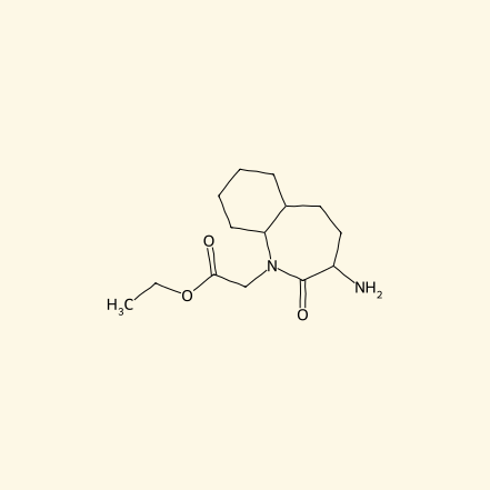 CCOC(=O)CN1C(=O)C(N)CCC2CCCCC21